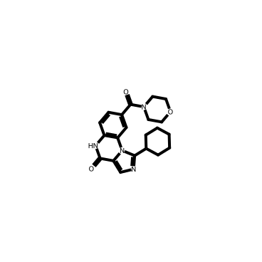 O=C(c1ccc2[nH]c(=O)c3cnc(C4CCCCC4)n3c2c1)N1CCOCC1